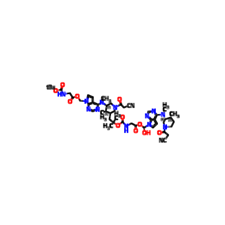 C[C@@H]1CCN(C(=O)CC#N)C[C@@H]1N(C)c1ncnc2c1ccn2C(O)OC(=O)CNC(=O)OC(C)(C)CC1CN(C(=O)CC#N)C[C@H](N(C)c2ncnc3c2ccn3COC(=O)CNC(=O)OC(C)(C)C)[C@@H]1C